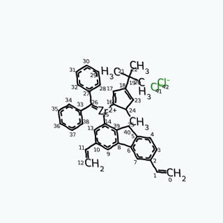 C=Cc1ccc2c(c1)-c1cc(C=C)c[c]([Zr+2]([C]3=CC(C(C)(C)C)=CC3C)=[C](c3ccccc3)c3ccccc3)c1C2.[Cl-].[Cl-]